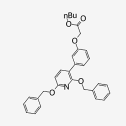 CCCCOC(=O)COc1cccc(-c2ccc(OCc3ccccc3)nc2OCc2ccccc2)c1